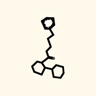 O=C(CCCCc1ccccc1)C1CCCC[C]1C1CCCCC1